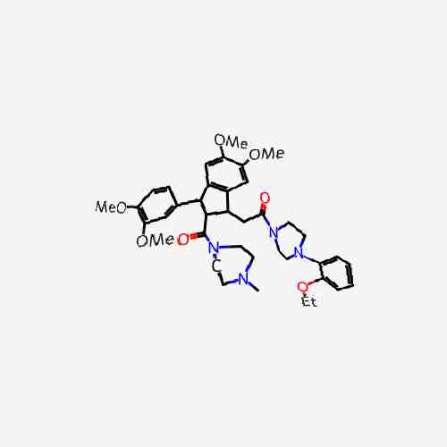 CCOc1ccccc1N1CCN(C(=O)CC2c3cc(OC)c(OC)cc3C(c3ccc(OC)c(OC)c3)C2C(=O)N2CCN(C)CC2)CC1